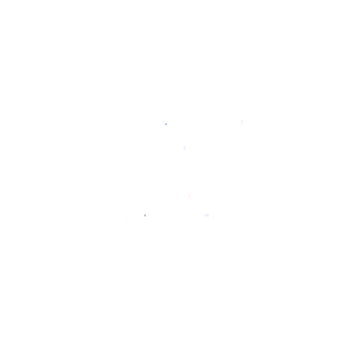 CCC(=O)Nc1nc(-c2nnc(Cc3ccc(F)cc3)o2)c(O)c2ncccc12